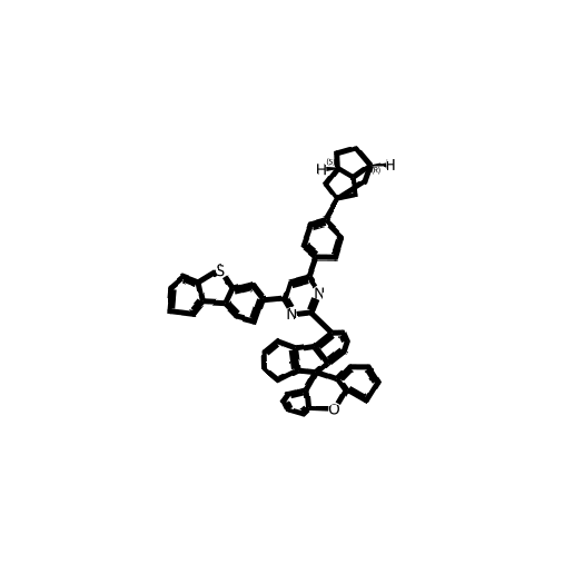 C1=CC2=C(CC1)C1(c3ccccc3Oc3ccccc31)c1cccc(-c3nc(-c4ccc(C56CC7[C@H](CC[C@H]7C5)C6)cc4)cc(-c4ccc5c(c4)sc4ccccc45)n3)c12